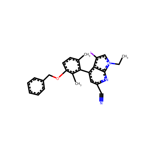 CCn1cc(I)c2c(-c3c(C)ccc(OCc4ccccc4)c3C)cc(C#N)nc21